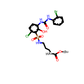 CC(C)(C)OC(=O)[AsH]CCCNS(=O)(=O)c1c(Cl)ccc(NC(=O)Nc2ccccc2Br)c1O